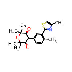 Cc1csc(-c2cc(C3C(=O)C(C)(C)OC(C)(C)C3=O)ccc2C)n1